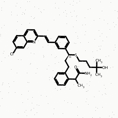 CC(C(N)=O)c1ccccc1CC[C@H](SCCCC(C)(C)O)c1cccc(C=Cc2ccc3ccc(Cl)cc3n2)c1